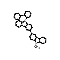 Cn1c2ccccc2c2cc(-c3ccc4c(c3)c3ccccc3n4-c3ccccc3-c3ccccc3)ccc21